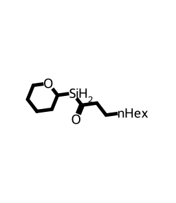 CCCCCCCCC(=O)[SiH2]C1CCCCO1